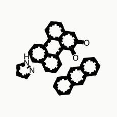 O=c1cc2cccc3c4cccc5cccc(c(c1=O)c23)c54.c1ccc2cc3ccccc3cc2c1.c1cn[nH]c1